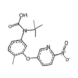 Cc1ccc(N(C(=O)O)C(C)(C)C)cc1Oc1ccc([N+](=O)[O-])nc1